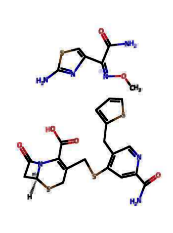 CO/N=C(\C(N)=O)c1csc(N)n1.NC(=O)c1cc(SCC2=C(C(=O)O)N3C(=O)C[C@@H]3SC2)c(Cc2cccs2)cn1